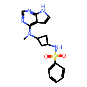 CN(c1ncnc2[nH]ccc12)C1CC(NS(=O)(=O)c2ccccc2)C1